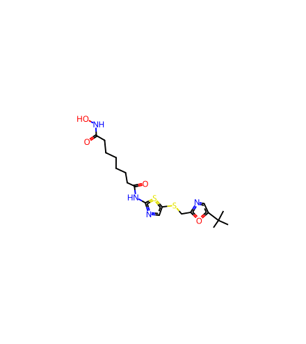 CC(C)(C)c1cnc(CSc2cnc(NC(=O)CCCCCCC(=O)NO)s2)o1